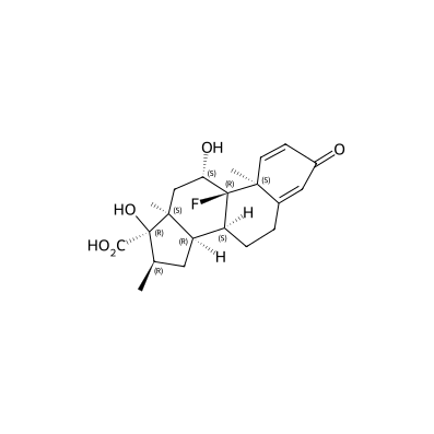 C[C@@H]1C[C@@H]2[C@@H]3CCC4=CC(=O)C=C[C@]4(C)[C@@]3(F)[C@@H](O)C[C@]2(C)[C@@]1(O)C(=O)O